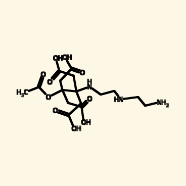 CC(=O)OC(CC(=O)O)(CC(=O)O)C(CC(=O)O)(CC(=O)O)NCCNCCN